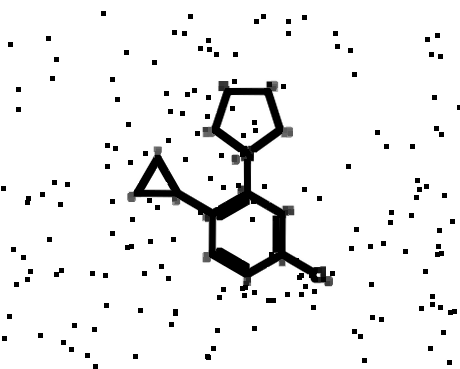 Clc1ccc(C2CC2)c(N2CCCC2)c1